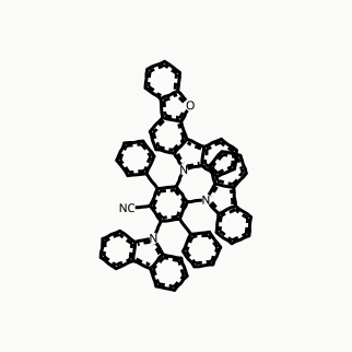 N#Cc1c(-c2ccccc2)c(-n2c3ccccc3c3c4oc5ccccc5c4ccc32)c(-n2c3ccccc3c3ccccc32)c(-c2ccccc2)c1-n1c2ccccc2c2ccccc21